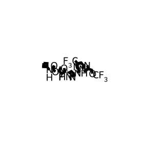 O=C(NC12CC(C1)C2)O[C@@H]1CO[C@H](c2cc(Nc3nc(C(F)(F)F)cc4nc(COC(F)(F)F)cn34)n[nH]2)[C@H]1F